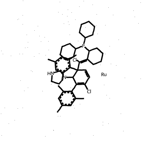 Cc1cc(C)c(C2=C(Cl)C=CC(C(Cl)=C3CCCCC3P(C3CCCCC3)C3CCCCC3)(c3c(C)cc(C)cc3C)C2N2CCNC2)c(C)c1.[Ru]